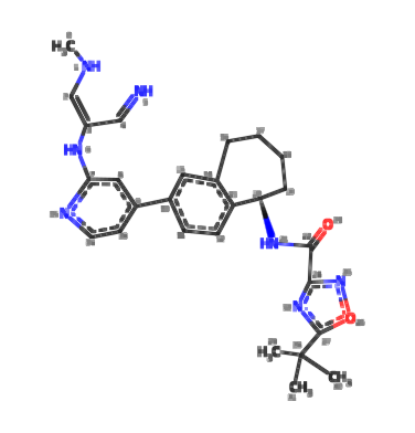 CN/C=C(\C=N)Nc1cc(-c2ccc3c(c2)CCCC[C@H]3NC(=O)c2noc(C(C)(C)C)n2)ccn1